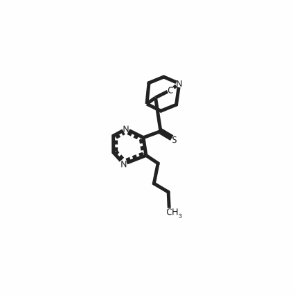 CCCCc1nccnc1C(=S)C1CN2CCC1CC2